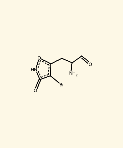 NC(C=O)Cc1o[nH]c(=O)c1Br